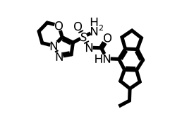 CCC1Cc2cc3c(c(NC(=O)N=S(N)(=O)c4cnn5c4OCCC5)c2C1)CCC3